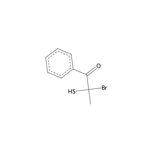 CC(S)(Br)C(=O)c1ccccc1